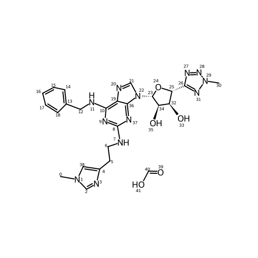 Cn1cnc(CCNc2nc(NCc3ccccc3)c3ncn([C@@H]4O[C@H](c5nnn(C)n5)[C@@H](O)[C@H]4O)c3n2)c1.O=CO